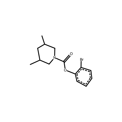 CC1CC(C)CN(C(=O)Oc2ccccc2Br)C1